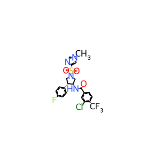 Cn1cnc(S(=O)(=O)N2C[C@@H](NC(=O)c3ccc(C(F)(F)F)c(Cl)c3)[C@H](c3ccc(F)cc3)C2)c1